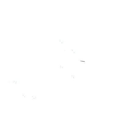 Nc1n[nH]c2cc(-c3nc([C@H](Cc4ccccc4)NC(=O)NCc4cc(Cl)ccc4F)[nH]c3Cl)ccc12